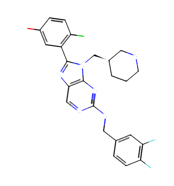 Oc1ccc(Cl)c(-c2nc3cnc(NCc4ccc(F)c(F)c4)nc3n2C[C@@H]2CCCNC2)c1